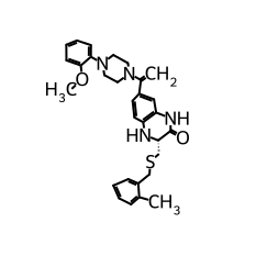 C=C(c1ccc2c(c1)NC(=O)[C@H](CSCc1ccccc1C)N2)N1CCN(c2ccccc2OC)CC1